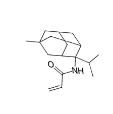 C=CC(=O)NC1(C(C)C)C2CC3CC1CC(C)(C3)C2